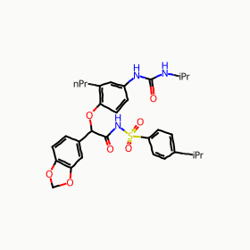 CCCc1cc(NC(=O)NC(C)C)ccc1OC(C(=O)NS(=O)(=O)c1ccc(C(C)C)cc1)c1ccc2c(c1)OCO2